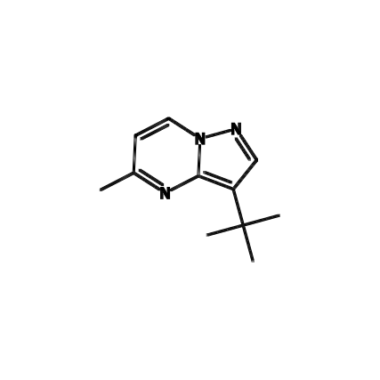 Cc1ccn2ncc(C(C)(C)C)c2n1